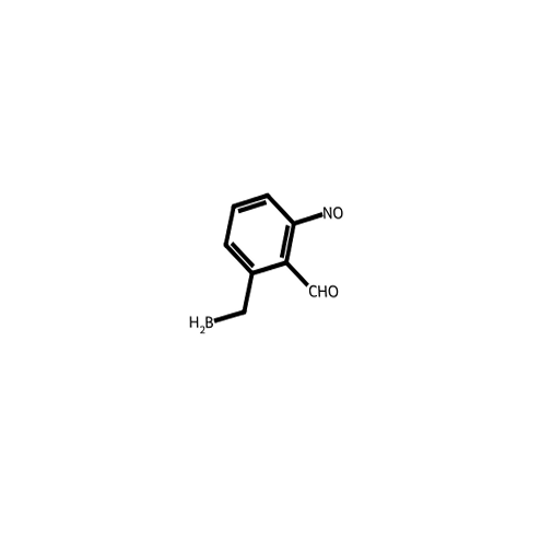 BCc1cccc(N=O)c1C=O